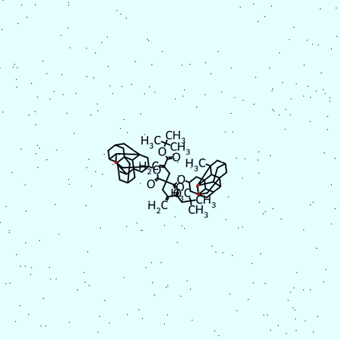 C=C(CC(CC(=C)C(=O)OC(C)(C)C)(C(=O)OC1CC2C3C4CC5CC3(C)C3C6(C5)CC5CC(C46)C2C3(C5)C1)C(=O)OC12CC3C4C5CC6CC78CC9CC(C57)C3C(C9)(C1)C8C4(C6)C2)C(=O)CC(C)(C)C